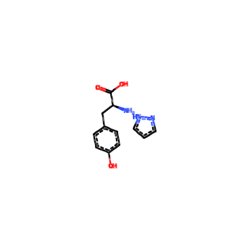 N[C@@H](Cc1ccc(O)cc1)C(=O)O.c1cn[nH]c1